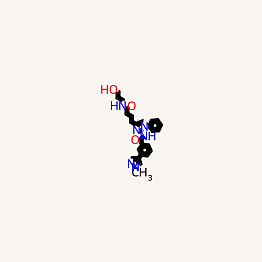 Cn1cc(-c2cccc(C(=O)Nc3nc(CCCC(=O)NCCCO)cn3-c3ccccc3)c2)cn1